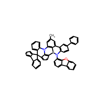 Cc1cc2c3c(c1)N1c4ccccc4C4(c5ccccc5-c5ccccc54)c4cccc(c41)B3N(c1cccc3c1oc1ccccc13)c1ccc(-c3ccccc3)cc1-2